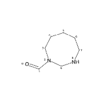 O=CN1CCCCCNC1